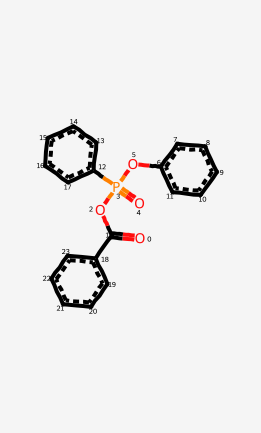 O=C(OP(=O)(Oc1ccccc1)c1ccccc1)c1ccccc1